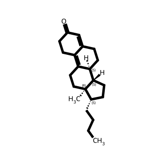 CCCC[C@H]1CC[C@H]2[C@@H]3CCC4=CC(=O)CCC4=C3CC[C@]12C